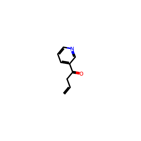 C=CCC(=O)c1cccnc1